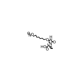 C=CCC(C)C(=O)O.CCCCCCCCON=O.O=C1CNC(=O)N1